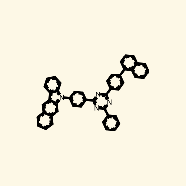 c1ccc(-c2nc(-c3ccc(-c4cccc5ccccc45)cc3)nc(-c3ccc(-n4c5ccccc5c5cc6ccccc6cc54)cc3)n2)cc1